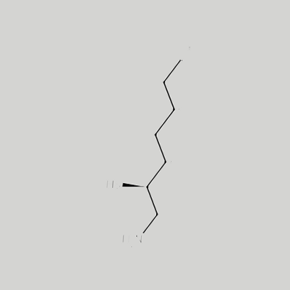 NC[C@@H](S)CCCCI